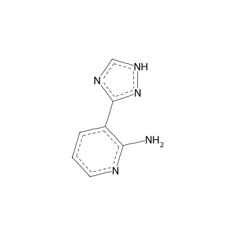 Nc1ncccc1-c1nc[nH]n1